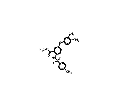 COC(=O)c1cc(Oc2ccc(N)c(C)c2)ccc1NS(=O)(=O)c1ccc(C)cc1